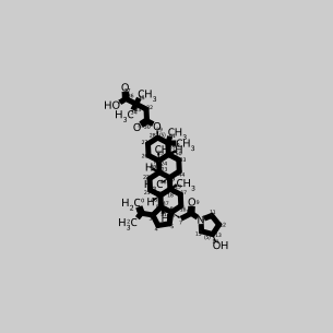 C=C(C)C1CC[C@]2(CC(=O)N3CC[C@H](O)C3)CC[C@]3(C)[C@H](CC[C@@H]4[C@@]5(C)CC[C@H](OC(=O)CC(C)(C)C(=O)O)C(C)(C)[C@@H]5CC[C@]43C)[C@@H]12